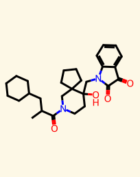 CC(CC1CCCCC1)C(=O)N1CCC(O)(CN2C(=O)C(=O)c3ccccc32)C2(CCCC2)C1